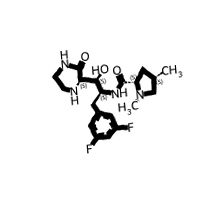 C[C@H]1C[C@@H](C(=O)N[C@@H](Cc2cc(F)cc(F)c2)[C@H](O)[C@@H]2NCCNC2=O)N(C)C1